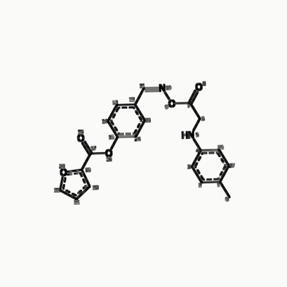 Cc1ccc(NCC(=O)O/N=C\c2ccc(OC(=O)c3ccco3)cc2)cc1